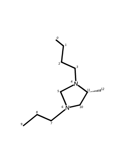 CCCCN1CN(CCC)C[C@H]1C